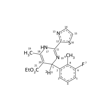 [2H]C1(c2cccc(F)c2C)N=C(c2nccs2)NC(C)=C1C(=O)OCC